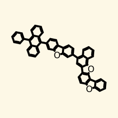 c1ccc(-c2c3ccccc3c(-c3ccc4c(c3)oc3cc(-c5cc6c7ccc8oc9ccccc9c8c7oc6c6ccccc56)ccc34)c3ccccc23)cc1